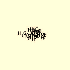 Cc1cnc2c(Cl)cc(C(=O)NCC(O)(c3cc4c(c(-c5ccc(F)c(C(F)(F)F)c5)n3)OC[C@]4(C)C(N)=O)C3CC3)cc2c1